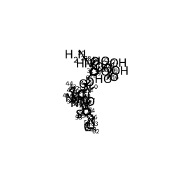 CCN(C(=O)OCc1ccc(O[C@@H]2O[C@H](C(=O)O)[C@@H](O)[C@H](O)[C@H]2O)c(C(=O)NCCN)c1)c1cc([C@]2(c3nncn3C)C[C@@H](C)C2)cc(N2Cc3c(SC)cc(CN4CCC[C@H](C)C4)cc3C2=O)n1